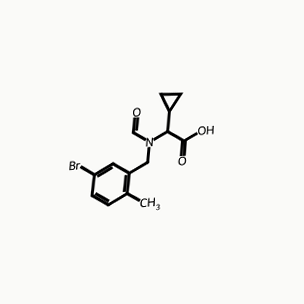 Cc1ccc(Br)cc1CN(C=O)C(C(=O)O)C1CC1